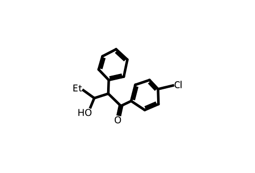 CCC(O)C(C(=O)c1ccc(Cl)cc1)c1ccccc1